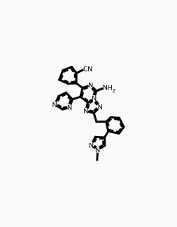 Cn1cc(-c2ccccc2Cc2nc3c(-c4ccncn4)c(-c4ccccc4C#N)nc(N)n3n2)cn1